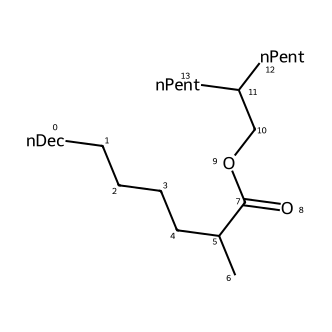 CCCCCCCCCCCCCCC(C)C(=O)OCC(CCCCC)CCCCC